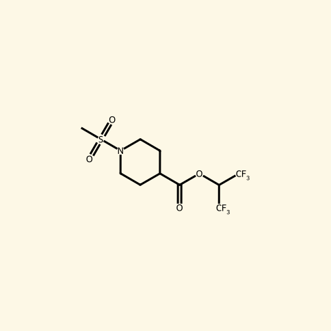 CS(=O)(=O)N1CCC(C(=O)OC(C(F)(F)F)C(F)(F)F)CC1